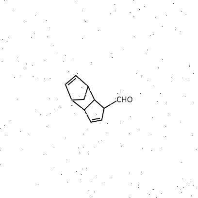 O=CC1C=CC2C3C=CC(C3)C12